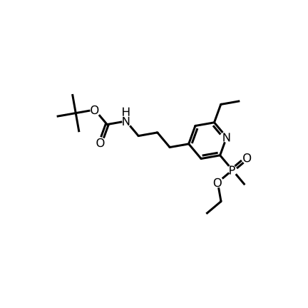 CCOP(C)(=O)c1cc(CCCNC(=O)OC(C)(C)C)cc(CC)n1